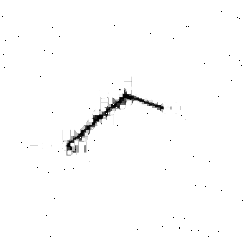 BNC(CCCCNC(=O)COCCOCCNC(=O)COCCOCCNC(=O)CCC(NC(=O)CCCCCCCCCCCCC(=O)O)C(=O)O)C(=O)O